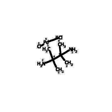 CC(C)(N)C(C)(C)N.[Cl][Pd][Cl]